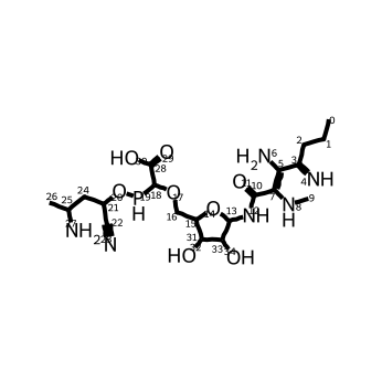 CCCC(=N)/C(N)=C(\NC)C(=O)NC1OC(COC(POC(C#N)CC(C)N)C(=O)O)C(O)C1O